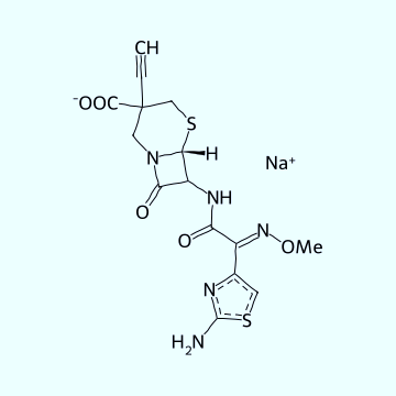 C#CC1(C(=O)[O-])CS[C@@H]2C(NC(=O)C(=NOC)c3csc(N)n3)C(=O)N2C1.[Na+]